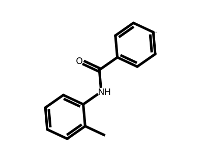 Cc1ccccc1NC(=O)c1cc[c]cc1